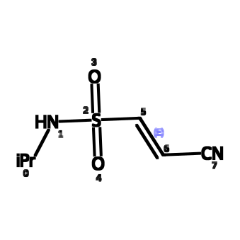 CC(C)NS(=O)(=O)/C=C/C#N